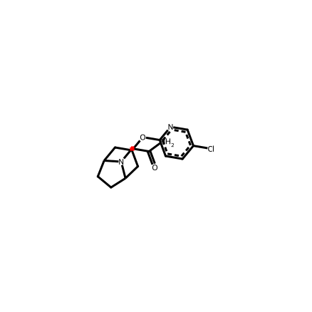 NC(=O)CN1C2CCC1CC(Oc1ccc(Cl)cn1)C2